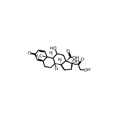 C[C@]12C=CC(=O)C=C1CC[C@@H]1[C@@H]2C(O)C[C@@]2(C(=O)O)[C@H]1CC[C@]2(O)C(=O)CO